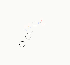 CN1c2cc(-c3ccccc3)ccc2CN([C@@H]2CCN(C(=O)OC(C)(C)C)C2)S1(=O)=O